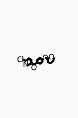 O=C(c1ccc(OC2CCCCO2)cc1)c1ccc(Cl)nc1